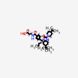 CCCC[C@H](c1ccc(C(=O)NCCC(=O)O)cc1)N1C(=O)C(N2CCC(C(C)C)CC2)=NC12CCC(C(C)(C)C)CC2